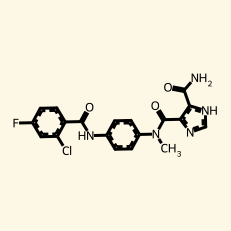 CN(C(=O)c1nc[nH]c1C(N)=O)c1ccc(NC(=O)c2ccc(F)cc2Cl)cc1